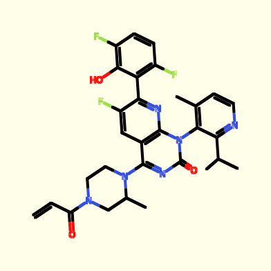 C=CC(=O)N1CCN(c2nc(=O)n(-c3c(C)ccnc3C(C)C)c3nc(-c4c(F)ccc(F)c4O)c(F)cc23)C(C)C1